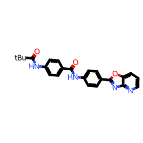 CC(C)(C)C(=O)Nc1ccc(C(=O)Nc2ccc(-c3nc4ncccc4o3)cc2)cc1